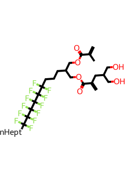 C=C(C)C(=O)OCC(CCCC(F)(F)C(F)(F)C(F)(F)C(F)(F)C(F)(F)C(F)(F)CCCCCCC)COC(=O)C(=C)CC(CO)CO